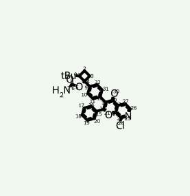 CC(C)(C)C1CCC1(OC(N)=O)c1ccc(-c2c(-c3ccccc3)oc3c(Cl)nccc3c2=O)cc1